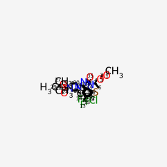 COCOC[C@H]1CSc2c(Cl)c(C(F)(F)F)cc3c(N4CCN(C(=O)OC(C)(C)C)C[C@@H]4C)nc(=O)n1c23